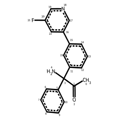 CC(=O)C(N)(c1ccccc1)c1cccc(-c2cncc(F)c2)c1